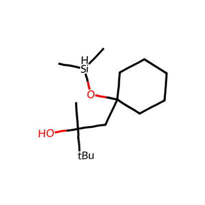 C[SiH](C)OC1(CC(C)(O)C(C)(C)C)CCCCC1